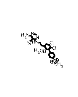 COc1c(CCNc2ncnc(N)c2C#N)cc(Cl)c(Cl)c1-c1ccc(S(C)(=O)=O)cc1